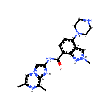 Cc1cn2cc(NC(=O)c3ccc(N4CCNCC4)c4cn(C)nc34)nc2c(C)n1